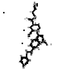 Cn1cc(N2CCN(C(=O)OCC=N)CC2=O)c2ccc(OCc3ccncc3)nc21